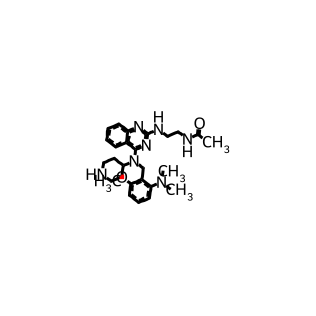 COc1cccc(N(C)C)c1CN(c1nc(NCCNC(C)=O)nc2ccccc12)C1CCNCC1